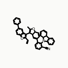 C=Cc1oc2ccc(-c3ccccc3)cc2c1C1=C(C)OC2C=CC(c3cccc(C#N)c3N3c4ccccc4C4C=CC=CC43)=CC12